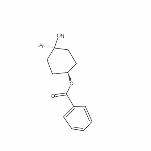 CC(C)[C@]1(O)CC[C@@H](OC(=O)c2ccccc2)CC1